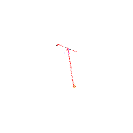 CCCCCCCCCCCN(C(=O)CCCCCCCCCC(=O)OCc1ccccc1)[C@@H](CCC(=O)NCCOCCOCCOCCOCCOCCOCCOCCOCCOCCOCCOCCOCCC(=O)Oc1c(F)c(F)c(F)c(F)c1F)C(C)=O